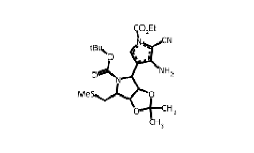 CCOC(=O)n1cc(C2C3OC(C)(C)OC3C(CSC)N2C(=O)OC(C)(C)C)c(N)c1C#N